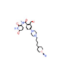 CN(C(=O)c1ccc(N2CCN(CCCCC3CCB(C#N)CC3)CC2)cc1C=O)C1CCC(=O)NC1=O